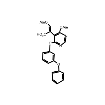 CO/C=C(\C(=O)O)c1c(OC)ncnc1Oc1cccc(Oc2ccccc2)c1